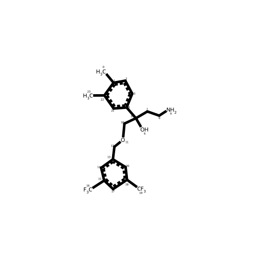 Cc1ccc(C(O)(CCN)COCc2cc(C(F)(F)F)cc(C(F)(F)F)c2)cc1C